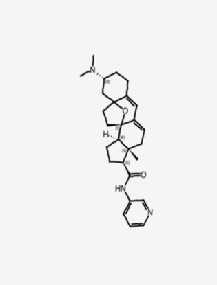 CN(C)[C@@H]1CCC2=CC3=CC[C@]4(C)[C@@H](C(=O)Nc5cccnc5)CC[C@H]4[C@@]34CCC2(C1)O4